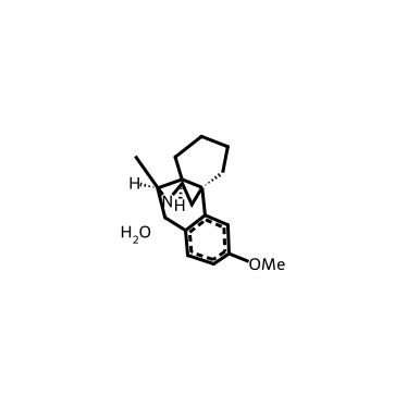 COc1ccc2c(c1)[C@]13CCCC[C@@H]1[C@H](C2)N(C)CC3.O